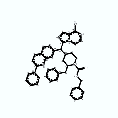 O=C(OCc1ccccc1)N1CCC(C(c2ccc3ccc(-c4ccccc4)nc3c2)c2ncc3c(Cl)nccn23)CC1Cc1ccccc1